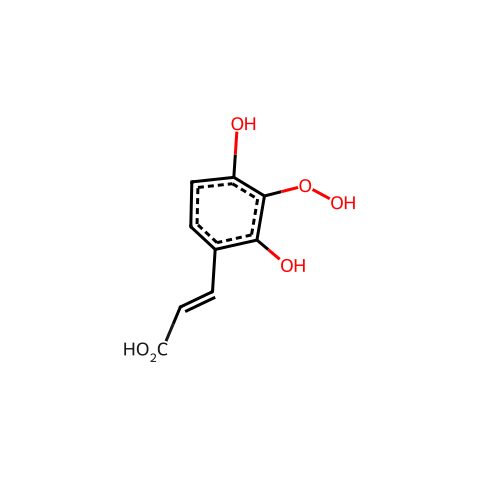 O=C(O)C=Cc1ccc(O)c(OO)c1O